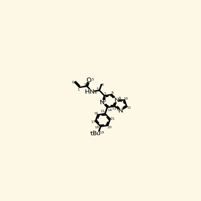 C=CC(=O)NC(C)c1cn2ccnc2c(-c2ccc(C(C)(C)C)cc2)n1